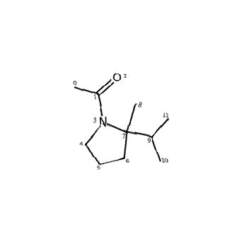 CC(=O)N1CCCC1(C)C(C)C